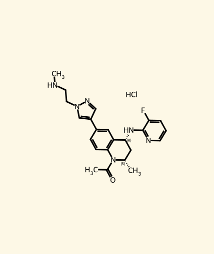 CNCCn1cc(-c2ccc3c(c2)[C@H](Nc2ncccc2F)C[C@H](C)N3C(C)=O)cn1.Cl